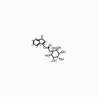 O=C(C[C@]1(O)[C@H](O)[C@H](O)[C@@H](O)[C@H](O)[C@H]1O)Oc1c[nH]c2ccccc12